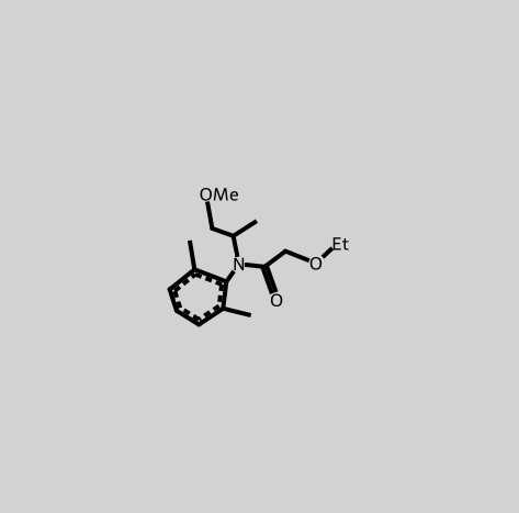 CCOCC(=O)N(c1c(C)cccc1C)C(C)COC